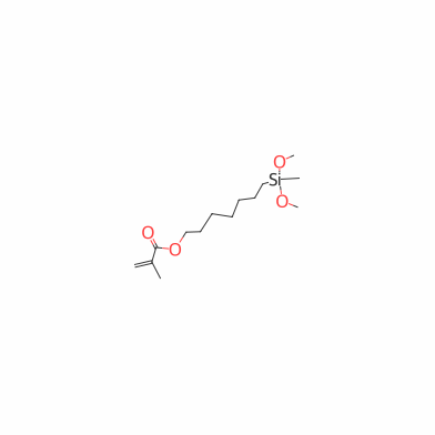 C=C(C)C(=O)OCCCCCCC[Si](C)(OC)OC